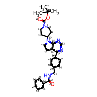 CC(C)(C)OC(=O)N1CCC(n2ccc3c(-c4ccc(CNC(=O)c5ccccc5)cc4)ncnc32)CC1